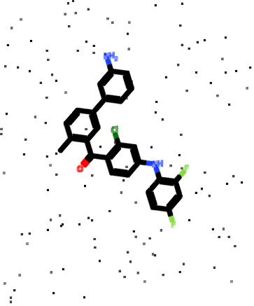 Cc1ccc(-c2cccc(N)c2)cc1C(=O)c1ccc(Nc2ccc(F)cc2F)cc1Cl